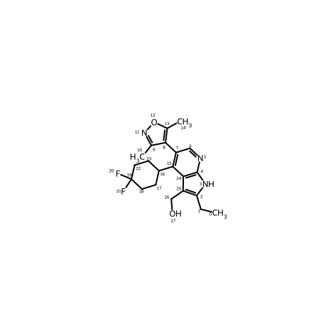 CCc1[nH]c2ncc(-c3c(C)noc3C)c(C3CCC(F)(F)CC3)c2c1CO